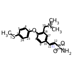 CSc1ccc(Oc2ccc(/C=C/S(N)(=O)=O)cc2CN(C)C)cc1